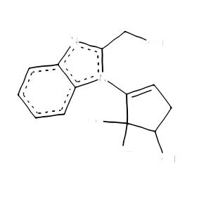 CC1CC=C(n2c(CO)nc3ccccc32)C1(C)C